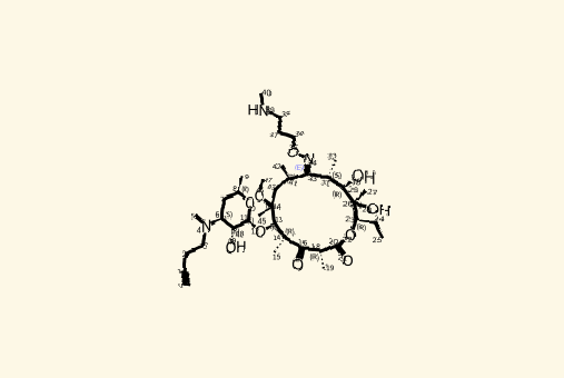 C#CCCN(C)[C@H]1C[C@@H](C)O[C@@H](O[C@@H]2[C@@H](C)C(=O)[C@@H](C)C(=O)O[C@H](CC)[C@@](C)(O)[C@H](O)[C@@H](C)/C(=N/OCCCNC)[C@H](C)C[C@@]2(C)OC)[C@@H]1O